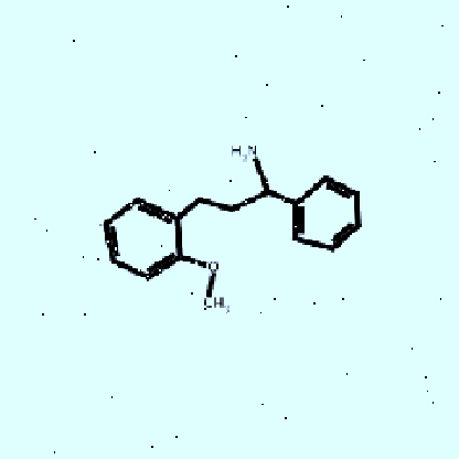 COc1cc[c]cc1CCC(N)c1ccccc1